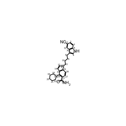 N#Cc1ccc2[nH]cc(CCCCn3ccc4c(N5CCCCC5)c(C(N)=O)ccc43)c2c1